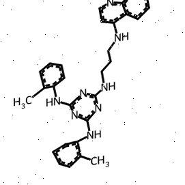 Cc1ccc2c(NCCCNc3nc(Nc4ccccc4C)nc(Nc4ccccc4C)n3)ccnc2c1